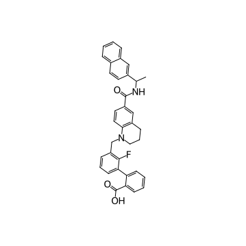 CC(NC(=O)c1ccc2c(c1)CCCN2Cc1cccc(-c2ccccc2C(=O)O)c1F)c1ccc2ccccc2c1